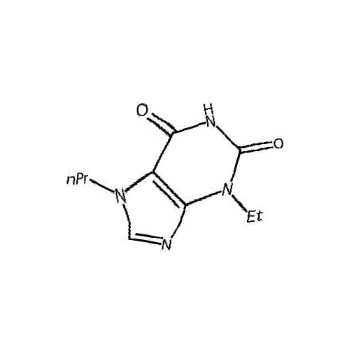 CCCn1cnc2c1c(=O)[nH]c(=O)n2CC